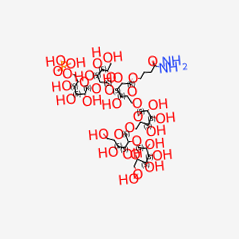 NNC(=O)CCCO[C@@H]1OC(CO[C@H]2OC(CO[C@H]3OC(CO)[C@@H](O)[C@H](O)C3O[C@@H]3OC(COO)[C@@H](O)[C@H](O)C3O)[C@@H](O)[C@H](O)C2O)[C@@H](O)[C@H](O[C@@H]2OC(CO)[C@@H](O)[C@H](O)C2O[C@H]2OC(COP(=O)(O)O)[C@@H](O)[C@H](O)C2O)C1O